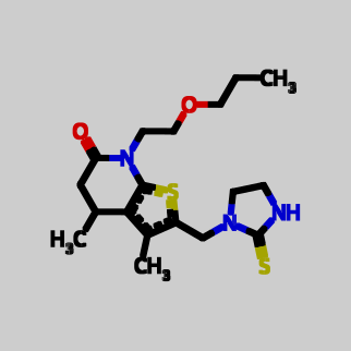 CCCOCCN1C(=O)CC(C)c2c1sc(CN1CCNC1=S)c2C